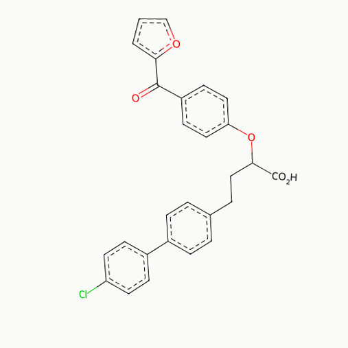 O=C(c1ccc(OC(CCc2ccc(-c3ccc(Cl)cc3)cc2)C(=O)O)cc1)c1ccco1